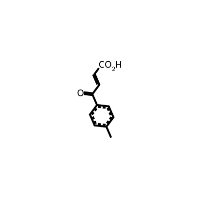 Cc1ccc(C(=O)/C=C/C(=O)O)cc1